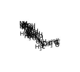 CC(C)(CCCc1ccc(CCCC2(OC=O)CC2)cc1)C(=O)CCNC(=O)CCNC(=O)C(O)C(C)(C)COP(=O)(O)OP(=O)(O)OCC1OC(n2cnc3c(N)ncnc32)C(O)C1OP(=O)(O)O